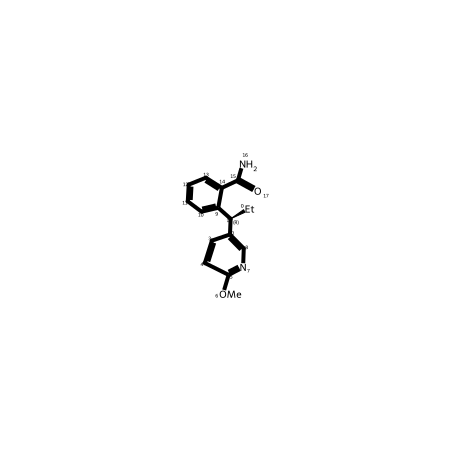 CC[C@@H](c1ccc(OC)nc1)c1ccccc1C(N)=O